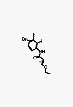 CCO/C=C/C(=O)Nc1ccc(Br)c(F)c1I